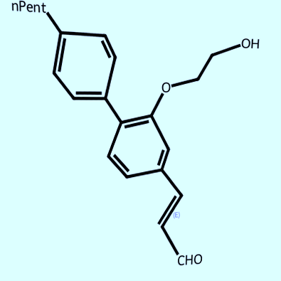 CCCCCc1ccc(-c2ccc(/C=C/C=O)cc2OCCO)cc1